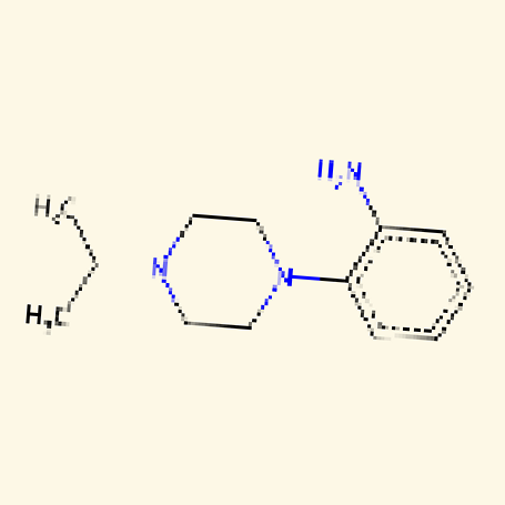 CC(C)N1CCN(c2ccccc2N)CC1